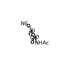 CC(=O)NCCN(C(=O)c1ccccc1)C(=O)c1ccc2c(c1)CCCN2C(=O)CCc1ccc(C#N)cc1